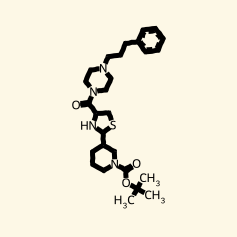 CC(C)(C)OC(=O)N1CCCC(C2NC(C(=O)N3CCN(CCCc4ccccc4)CC3)CS2)C1